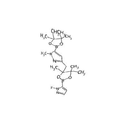 Cn1nc(CC2(C)OB(c3ccnn3F)OC2(C)C)cc1B1OC(C)(C)C(C)(C)O1